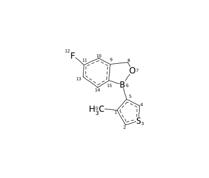 Cc1cscc1B1OCc2cc(F)ccc21